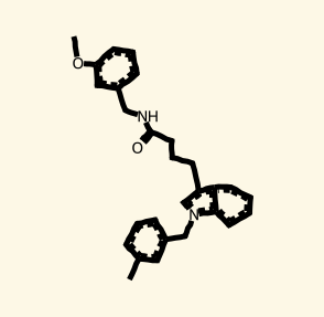 COc1cccc(CNC(=O)CCCc2cn(Cc3cccc(C)c3)c3ccccc23)c1